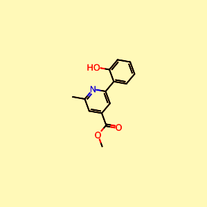 COC(=O)c1cc(C)nc(-c2ccccc2O)c1